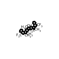 CC1(C)c2cc3c(cc2-c2cc4c(cc21)-c1c(cc(C(F)(F)F)c2ccccc12)C4(C)C)C(C)(C)c1cc(C(F)(F)F)c2ccccc2c1-3